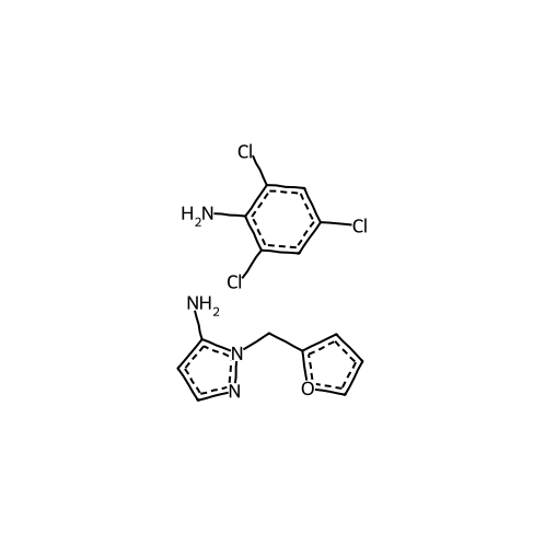 Nc1c(Cl)cc(Cl)cc1Cl.Nc1ccnn1Cc1ccco1